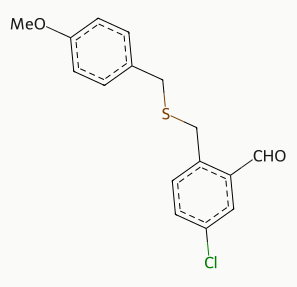 COc1ccc(CSCc2ccc(Cl)cc2C=O)cc1